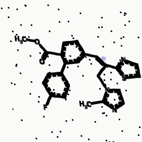 COC(=O)c1ccc(/C=C(\Cn2ccnc2C)c2nccs2)cc1-c1ccc(F)cc1